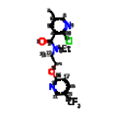 CCN(C(=O)c1cc(C)cnc1Cl)[C@@H](C)COc1ccc(C(F)(F)F)cn1